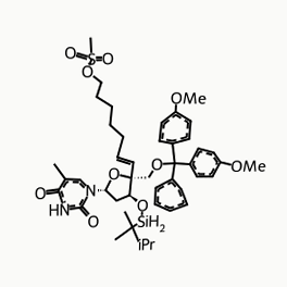 COc1ccc(C(OC[C@@]2(C=CCCCCCOS(C)(=O)=O)O[C@@H](n3cc(C)c(=O)[nH]c3=O)C[C@@H]2O[SiH2]C(C)(C)C(C)C)(c2ccccc2)c2ccc(OC)cc2)cc1